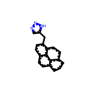 c1cc2ccc3ccc(Cc4cnn[nH]4)c4ccc(c1)c2c34